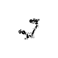 Cc1ncsc1-c1ccc(CNC(=O)C2C[C@@H](O)CN2C(=O)[C@@H](NC(=O)CCCCCNCCC(=O)N2CC(c3c[nH]c4nnc(-c5ccccc5O)cc34)C2)C(C)(C)C)cc1